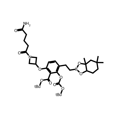 CC1(C)CCC2OB(CCc3ccc(OC4CN(C(=O)CCCC(N)=O)C4)c(C(=O)OC(C)(C)C)c3OC(=O)OC(C)(C)C)OC2(C)C1